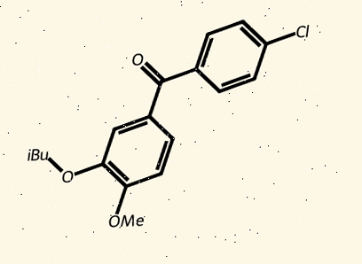 CCC(C)Oc1cc(C(=O)c2ccc(Cl)cc2)ccc1OC